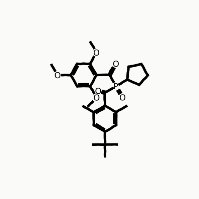 COc1cc(OC)c(C(=O)P(=O)(C(=O)c2c(C)cc(C(C)(C)C)cc2C)C2CCCC2)c(OC)c1